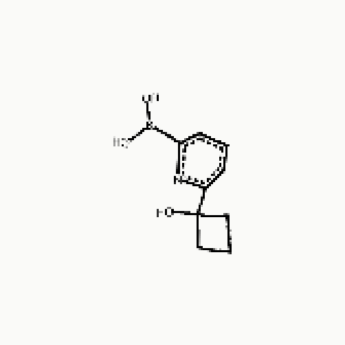 OB(O)c1cccc(C2(O)CCC2)n1